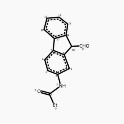 CCC(=O)Nc1ccc2c(c1)C(C=O)c1ccccc1-2